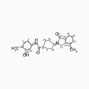 Cc1ccc(NC(=O)C2CCC(N3Cc4c(C)cccc4C3=O)CC2)cc1O